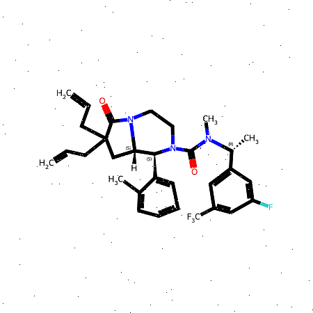 C=CCC1(CC=C)C[C@H]2[C@H](c3ccccc3C)N(C(=O)N(C)[C@H](C)c3cc(F)cc(C(F)(F)F)c3)CCN2C1=O